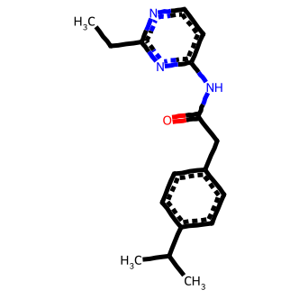 CCc1nccc(NC(=O)Cc2ccc(C(C)C)cc2)n1